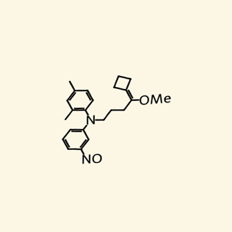 COC(CCCN(c1cccc(N=O)c1)c1ccc(C)cc1C)=C1CCC1